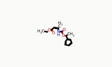 CCOC(=O)/C=C(/C)NC(=O)OC(C)c1ccccc1